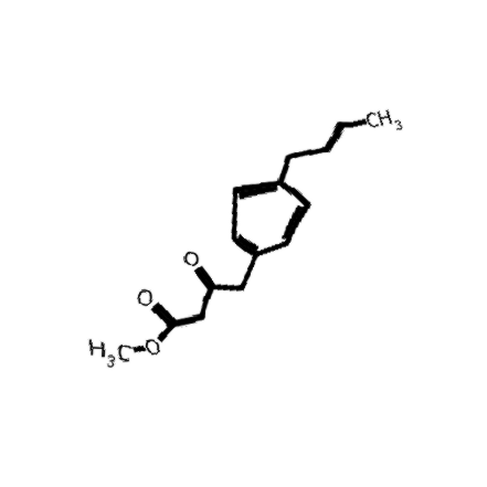 CCCCc1ccc(CC(=O)CC(=O)OC)cc1